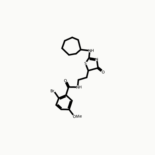 COc1ccc(Br)c(C(=O)NCCC2SC(NC3CCCCCC3)=NC2=O)c1